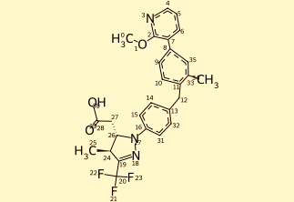 COc1ncccc1-c1ccc(Cc2ccc(N3N=C(C(F)(F)F)[C@@H](C)[C@@H]3CC(=O)O)cc2)c(C)c1